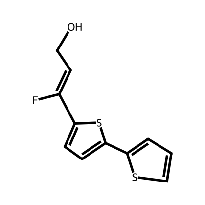 OCC=C(F)c1ccc(-c2cccs2)s1